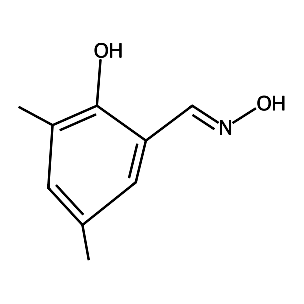 Cc1cc(C)c(O)c(C=NO)c1